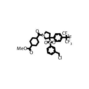 COC(=O)C1CCC(C(=O)N2CCC(c3ccc(C(F)(C(F)(F)F)C(F)(F)F)cc3)(S(=O)(=O)c3cccc(CCl)c3)C2)CC1